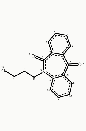 O=c1c2ccccc2c(=O)n(CCCCl)c2ccccc12